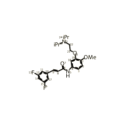 COc1ccc(NC(=O)C=Cc2cc(F)cc(F)c2)cc1OCCN(C(C)C)C(C)C